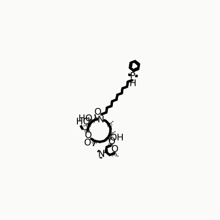 CC[C@H]1OC(=O)[C@H](C)CC[C@@H](O[C@H]2C[C@@H](N(C)C)C[C@@H](C)O2)[C@](C)(O)C[C@@H](C)CN(C(=O)CCCCCCCCCCC[PH](C)(C)c2ccccc2)[C@H](C)[C@@H](O)[C@]1(C)O